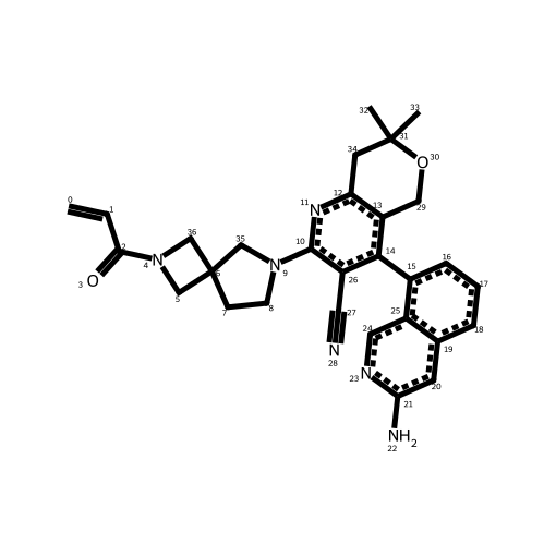 C=CC(=O)N1CC2(CCN(c3nc4c(c(-c5cccc6cc(N)ncc56)c3C#N)COC(C)(C)C4)C2)C1